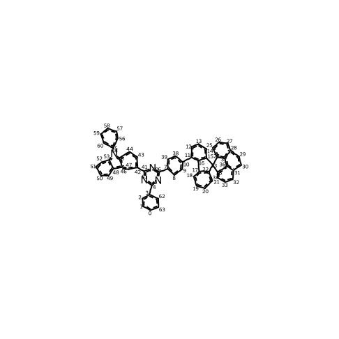 c1ccc(-c2nc(-c3ccc(-c4cccc5c4-c4ccccc4C54c5cccc6ccc7cccc4c7c56)cc3)nc(-c3ccc4c(c3)c3ccccc3n4-c3ccccc3)n2)cc1